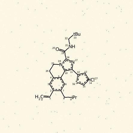 C=Cc1cc2c(cc1CC(C)C)-c1c(-c3cccs3)nc(C(=O)NCC(C)(C)C)n1CC2.Cl